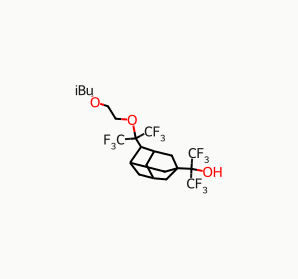 CCC(C)OCCOC(C1C2CC3CC1CC(C(O)(C(F)(F)F)C(F)(F)F)(C3)C2)(C(F)(F)F)C(F)(F)F